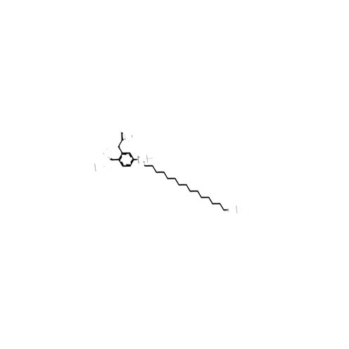 CCCCCCCCCCCCCCCCNc1ccc(C(=O)O)c(CC2CO2)c1